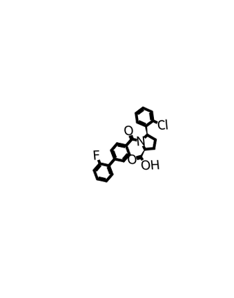 O=C(O)[C@@H]1CC[C@H](c2ccccc2Cl)N1C(=O)c1ccc(-c2ccccc2F)cc1